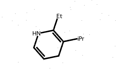 CCC1=C(C(C)C)CC=CN1